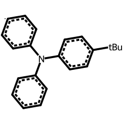 CC(C)(C)c1ccc(N(c2cc[c]cc2)c2ccccc2)cc1